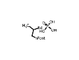 CCCCCC[CH](C)[Nd].O=P(O)(O)O